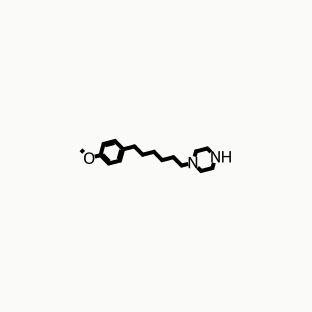 COc1ccc(CCCCCCN2CCNCC2)cc1